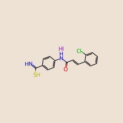 I.N=C(S)c1ccc(NC(=O)C=Cc2ccccc2Cl)cc1